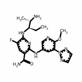 CC[C@@H](Nc1nc(Nc2cnc(OC)c(-n3nccn3)c2)c(C(N)=O)cc1F)[C@H](C)N